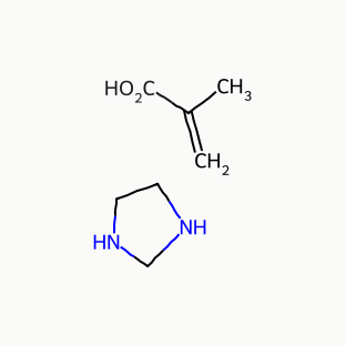 C1CNCN1.C=C(C)C(=O)O